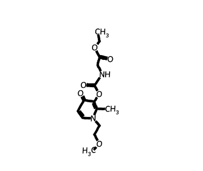 CCOC(=O)CNC(=O)Oc1c(C)n(CCOC)ccc1=O